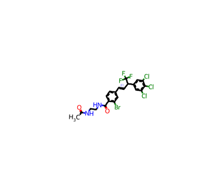 CC(=O)NCCNC(=O)c1ccc(/C=C/C(c2cc(Cl)c(Cl)c(Cl)c2)C(F)(F)F)cc1Br